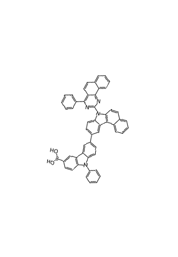 OB(O)c1ccc2c(c1)c1cc(-c3ccc4c(c3)c3c5ccccc5ccc3n4-c3nc(-c4ccccc4)c4ccc5ccccc5c4n3)ccc1n2-c1ccccc1